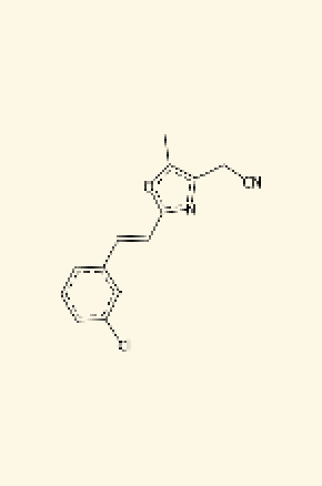 Cc1oc(C=Cc2cccc(Cl)c2)nc1CC#N